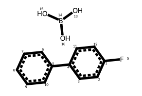 Fc1ccc(-c2ccccc2)cc1.OB(O)O